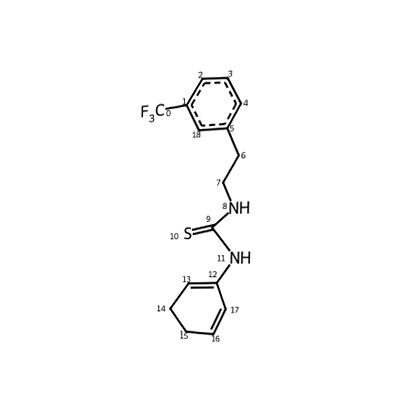 FC(F)(F)c1cccc(CCNC(=S)NC2=CC[CH]C=C2)c1